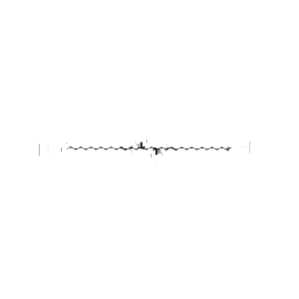 CCCCCCCCCCC/C=C/COC(=O)CCC(=O)OC/C=C/CCCCCCCCCCC